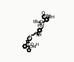 CC(C)(C)[Si](C)(C)O[C@@H](CNCc1ccc2c(c1)nnn2CCCN1CCC2(CC1)CC(c1ccccc1C(O)(C(=O)O)C1CCCC1)C2)c1ccc(O)c2[nH]c(=O)ccc12